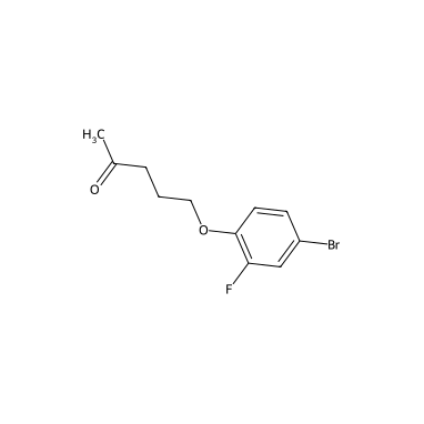 CC(=O)CCCOc1ccc(Br)cc1F